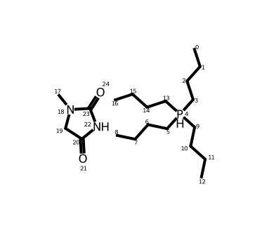 CCCC[PH](CCCC)(CCCC)CCCC.CN1CC(=O)NC1=O